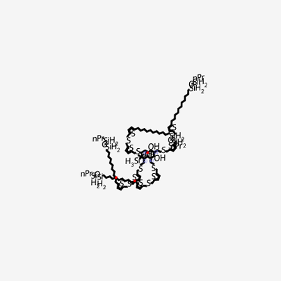 CCC[SiH2]O[SiH2]CCCCCCCCCCCc1ccc(CSCc2ccc(CSC/C=C(/C(O)/C=C/CSCc3ccc(CSCc4ccc(CCCCCCCCCCC[SiH2]O[SiH2]CCC)s4)s3)C(O)/C(=C\CSCc3ccc(CSCc4ccc(CCCCCCCCCCC[SiH2]O[SiH2]CCC)s4)s3)C(O)/C(=C/CSCc3ccc(CSCc4ccc(CCCCCCCCCCC[SiH2]O[SiH2]CCC)s4)s3)C(C)(O)[SiH3])s2)s1